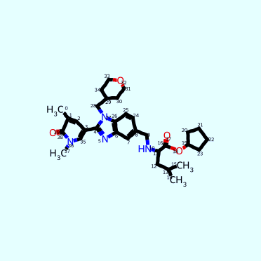 Cc1cc(-c2nc3cc(CNC(CC(C)C)C(=O)OC4CCCC4)ccc3n2CC2CCOCC2)cn(C)c1=O